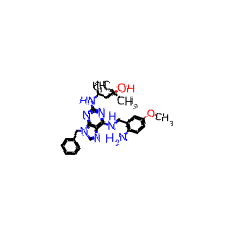 COc1ccc(N)c(CNc2nc(NC(C)CC(C)(C)O)nc3c2ncn3Cc2ccccc2)c1